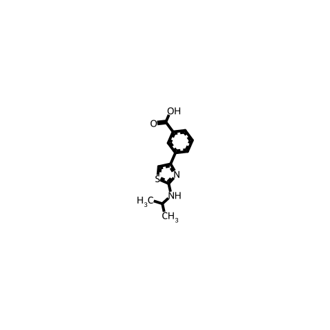 CC(C)Nc1nc(-c2cccc(C(=O)O)c2)cs1